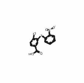 O=C(O)c1ccc(Cl)c(Sc2ccccc2[N+](=O)[O-])c1